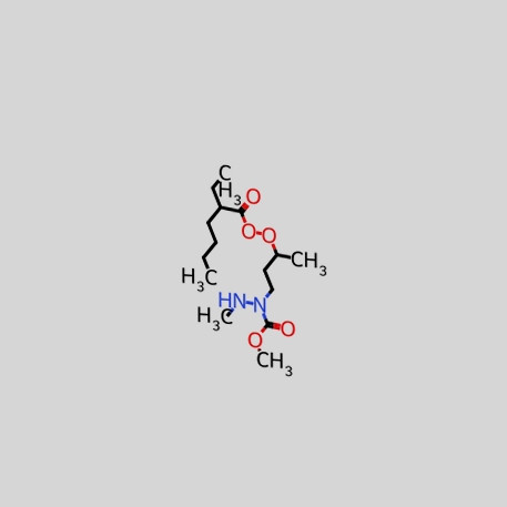 CCCCC(CC)C(=O)OOC(C)CCN(NC)C(=O)OC